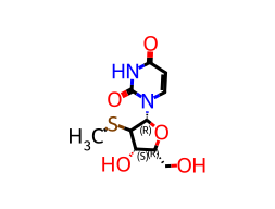 CSC1[C@@H](O)[C@@H](CO)O[C@H]1n1ccc(=O)[nH]c1=O